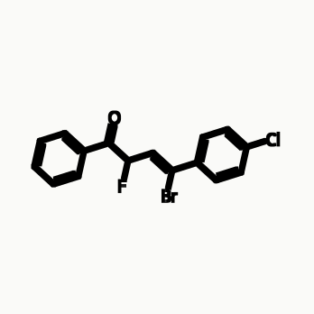 O=C(c1ccccc1)C(F)C=C(Br)c1ccc(Cl)cc1